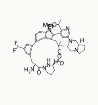 CCn1c(-c2cc(N3CCN4CCC[C@@H]4C3)cnc2[C@H](C)OC)c2c3cc(ccc31)-c1cc(cc(C(F)F)c1)C[C@H](N)C(=O)N1CCC[C@H](N1)C(=O)OCC(C)(C)C2